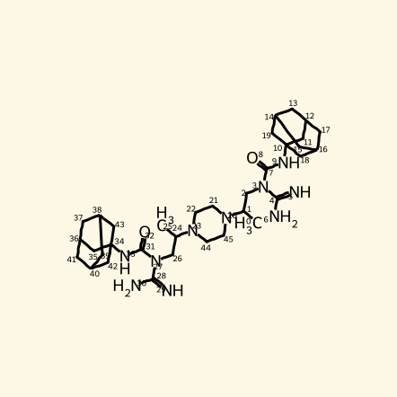 CC(CN(C(=N)N)C(=O)NC12CC3CC(CC(C3)C1)C2)N1CCN(C(C)CN(C(=N)N)C(=O)NC23CC4CC(CC(C4)C2)C3)CC1